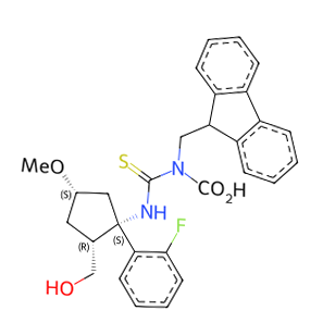 CO[C@H]1C[C@@H](CO)[C@](NC(=S)N(CC2c3ccccc3-c3ccccc32)C(=O)O)(c2ccccc2F)C1